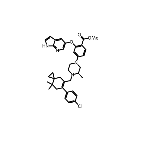 COC(=O)c1ccc(N2CCN(CC3=C(c4ccc(Cl)cc4)CC(C)(C)C4(CC4)C3)[C@H](C)C2)cc1Oc1cnc2[nH]ccc2c1